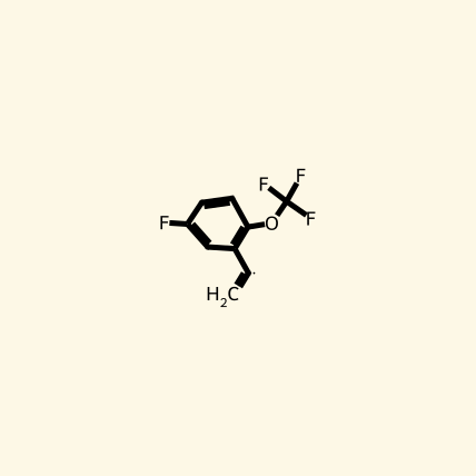 C=[C]c1cc(F)ccc1OC(F)(F)F